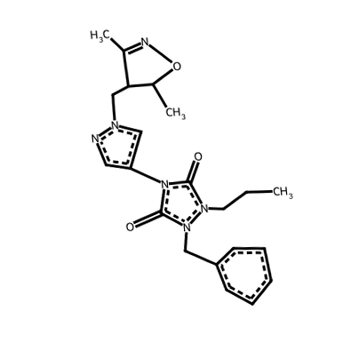 CCCn1c(=O)n(-c2cnn(CC3C(C)=NOC3C)c2)c(=O)n1Cc1ccccc1